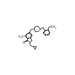 CCc1ccccc1CN1CCC(Cc2cc(C)c3c(c2)CN(CC2CC2)C3=O)CC1